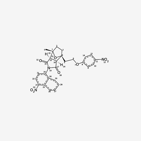 C[C@@]12CC[C@@](CCOc3ccc([N+](=O)[O-])cc3)(O1)[C@H]1C(=O)N(c3ccc([N+](=O)[O-])c4ccccc34)C(=O)[C@H]12